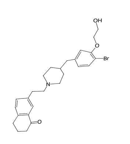 O=C1CCCc2ccc(CCN3CCC(Cc4ccc(Br)c(OCCO)c4)CC3)cc21